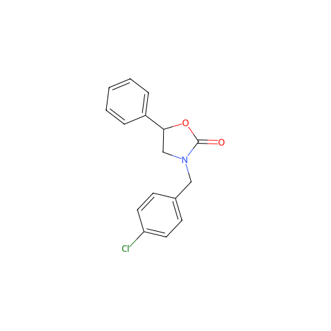 O=C1OC(c2ccccc2)CN1Cc1ccc(Cl)cc1